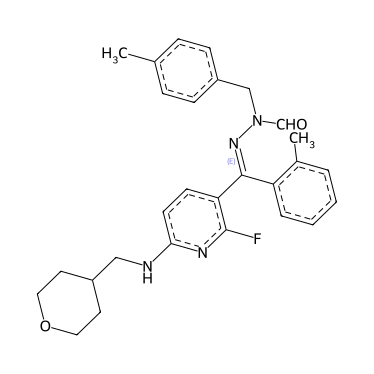 Cc1ccc(CN(C=O)/N=C(\c2ccccc2C)c2ccc(NCC3CCOCC3)nc2F)cc1